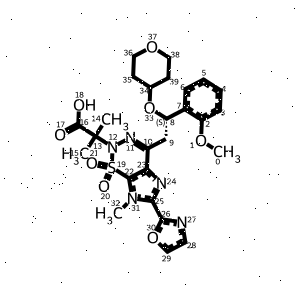 COc1ccccc1[C@H](CC1=NN(C(C)(C)C(=O)O)S(=O)(=O)c2c1nc(-c1ncco1)n2C)OC1CCOCC1